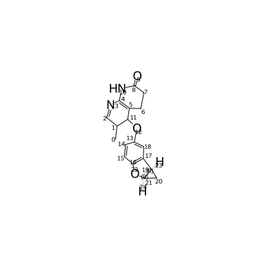 CC1C=NC2=C(CCC(=O)N2)C1Oc1ccc2c(c1)[C@H]1C[C@H]1O2